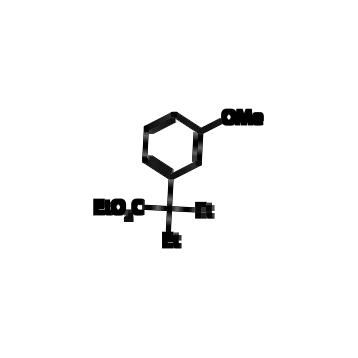 CCOC(=O)C(CC)(CC)c1cccc(OC)c1